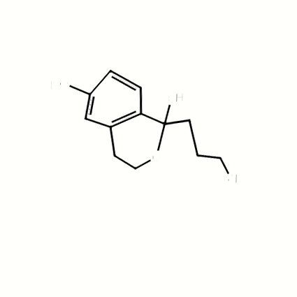 CC1(CCCCl)OCCc2cc(O)ccc21